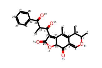 CC1=C2C(=COC(C)C2C)C(=O)C2OC(=O)C(C(=O)C(C)C(=O)c3ccccc3)=C12